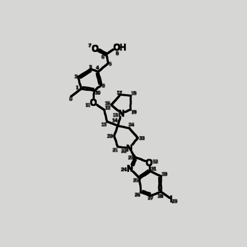 Cc1ccc(CC(=O)O)cc1OCCC1(N2CCCC2)CCN(c2nc3ccc(I)cc3o2)CC1